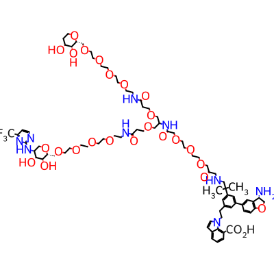 CC(C)(CNCC(=O)COCCOCCOCC(=O)NC(COCCC(=O)NCCOCCOCCOCCOC[C@H]1OC[C@H](Nc2nccc(C(F)(F)F)n2)[C@@H](O)[C@H]1O)COCCC(=O)NCCOCCOCCOCCOC[C@H]1OCC[C@@H](O)[C@H]1O)c1cc(CCn2ccc3cccc(C(=O)O)c32)cc(-c2ccc3c(c2)[C@H](N)CO3)c1